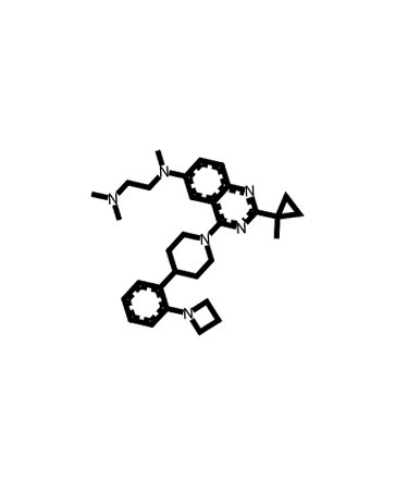 CN(C)CCN(C)c1ccc2nc(C3(C)CC3)nc(N3CCC(c4ccccc4N4CCC4)CC3)c2c1